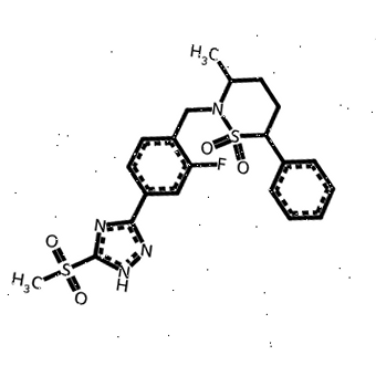 CC1CCC(c2ccccc2)S(=O)(=O)N1Cc1ccc(-c2n[nH]c(S(C)(=O)=O)n2)cc1F